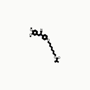 C=C(C)C(=O)OCCCCCCCCOc1ccc(/C(C#N)=C/c2ccc(OC)c(OC)c2)cc1